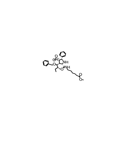 CC[C@H](C)C(OCc1ccccc1)[C@H]1[C@H]([N+](=O)[O-])[C@H](c2ccccc2)N[C@@H]1C(=O)NCCCCCC(=O)OC